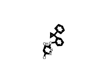 Oc1cc(Cl)nnc1Oc1ccccc1C1(c2ccccc2)CC1